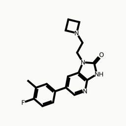 Cc1cc(-c2cnc3[nH]c(=O)n(CCN4CCC4)c3c2)ccc1F